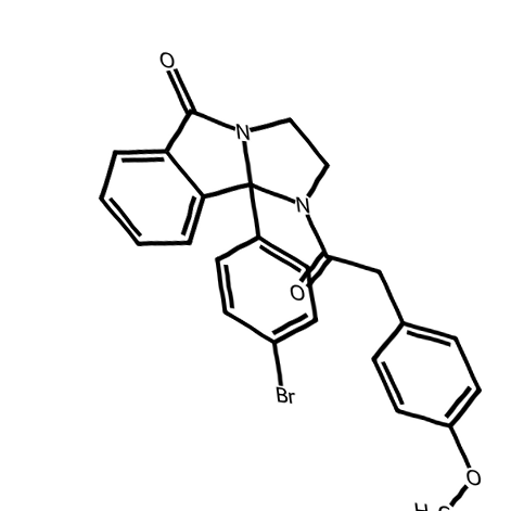 COc1ccc(CC(=O)N2CCN3C(=O)c4ccccc4C23c2ccc(Br)cc2)cc1